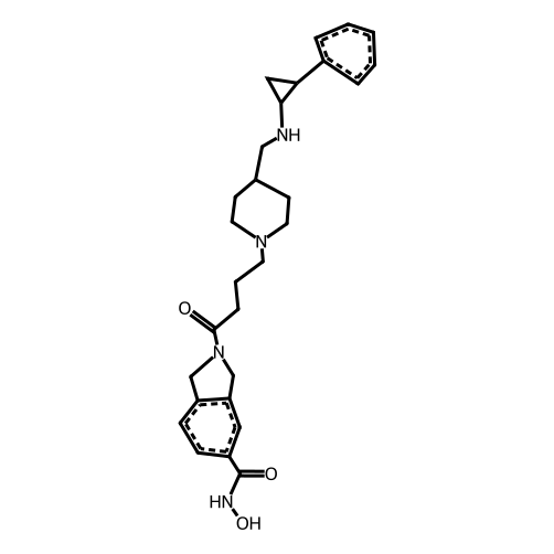 O=C(NO)c1ccc2c(c1)CN(C(=O)CCCN1CCC(CNC3CC3c3ccccc3)CC1)C2